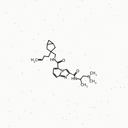 C=CCCC1(CNC(=O)c2cccc3nc(C(=O)NC(C)CN(C)C)cn23)CC2CC2C1